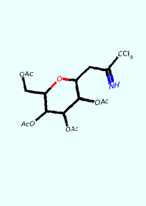 CC(=O)OCC1OC(CC(=N)C(Cl)(Cl)Cl)C(OC(C)=O)C(OC(C)=O)C1OC(C)=O